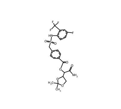 CC1(C)OCC(C(OC(=O)c2ccc(CS(=O)(=O)Nc3ccc(F)cc3C(F)(F)F)cc2)C(N)=O)O1